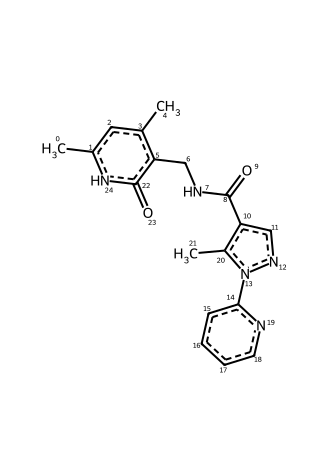 Cc1cc(C)c(CNC(=O)c2cnn(-c3ccccn3)c2C)c(=O)[nH]1